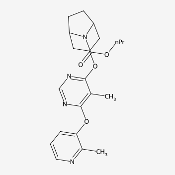 CCCOC(=O)N1C2CCC1CC(Oc1ncnc(Oc3cccnc3C)c1C)C2